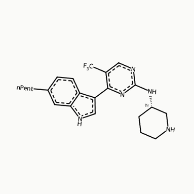 CCCCCc1ccc2c(-c3nc(N[C@H]4CCCNC4)ncc3C(F)(F)F)c[nH]c2c1